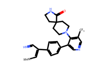 CN/C=C(\C=N)c1ccc(-c2cncc(C(F)(F)F)c2N2CCC3(CCNC3=O)CC2)cc1